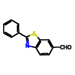 O=Cc1ccc2nc(-c3ccccc3)sc2c1